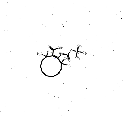 CC(C)(C)OC(=O)N/C1=C(\C(=O)O)C(C)(C)CCCCCCCC1(C)C